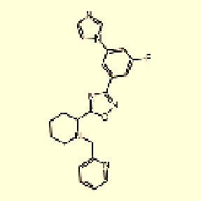 Fc1cc(-c2noc(C3CCCCN3Cc3ccccn3)n2)cc(-n2ccnc2)c1